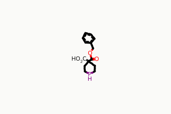 O=C(O)C1(C(=O)OCc2ccccc2)CCPCC1